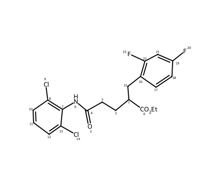 CCOC(=O)C(CCC(=O)Nc1c(Cl)cccc1Cl)Cc1ccc(F)cc1F